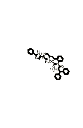 COC(=O)N(C(=O)[C@@H](N)C(c1ccccc1)c1ccccc1)c1ccccc1CC[C@@H]1CN[C@H](c2cnc(-c3ccccc3)[nH]2)CO1